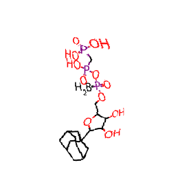 BP(=O)(OCC1OC(C23CC4CC(CC(C4)C2)C3)C(O)C1O)OP(=O)(O)CP(=O)(O)O